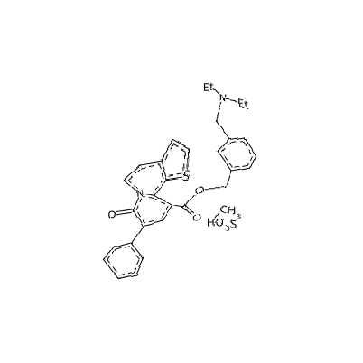 CCN(CC)Cc1cccc(COC(=O)c2cc(-c3ccccc3)c(=O)n3ccc4ccsc4c23)c1.CS(=O)(=O)O